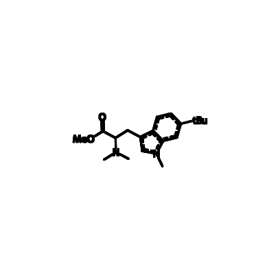 COC(=O)C(Cc1cn(C)c2cc(C(C)(C)C)ccc12)N(C)C